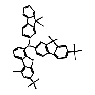 Cc1cc(C(C)(C)C)cc2oc3c(N(c4ccc5c(c4)C(C)(C)c4ccccc4-5)c4ccc5c(c4)C(C)(C)c4cc(C(C)(C)C)ccc4-5)cccc3c12